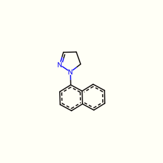 C1=NN(c2cccc3ccccc23)CC1